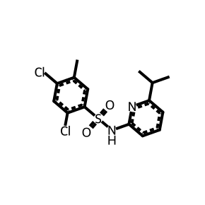 Cc1cc(S(=O)(=O)Nc2cccc(C(C)C)n2)c(Cl)cc1Cl